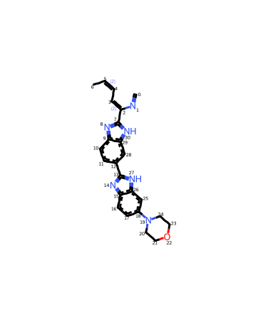 C=N/C(=C\C=C/C)c1nc2ccc(-c3nc4ccc(N5CCOCC5)cc4[nH]3)cc2[nH]1